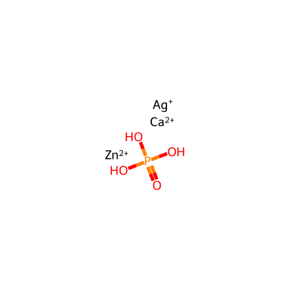 O=P(O)(O)O.[Ag+].[Ca+2].[Zn+2]